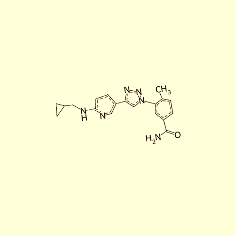 Cc1ccc(C(N)=O)cc1-n1cc(-c2ccc(NCC3CC3)nc2)nn1